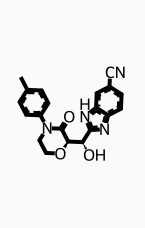 Cc1ccc(N2CCO[C@H]([C@@H](O)c3nc4ccc(C#N)cc4[nH]3)C2=O)cc1